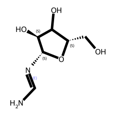 N/C=N/[C@H]1O[C@@H](CO)C(O)[C@@H]1O